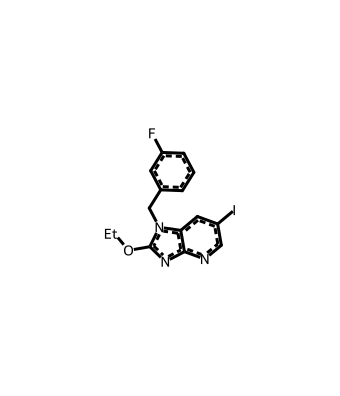 CCOc1nc2ncc(I)cc2n1Cc1cccc(F)c1